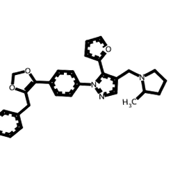 CC1CCCN1Cc1cnn(-c2ccc(C3=C(Cc4ccccc4)OCO3)cc2)c1-c1ccco1